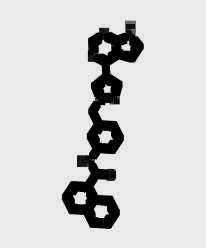 O=C(Nc1cccc(Cn2cc(-c3ncnc4[nH]ccc34)cn2)c1)c1cccc2ccccc12